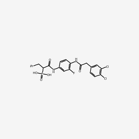 CC(C)CC(C(=O)Nc1ccc(NC(=O)Cc2ccc(Cl)c(Cl)c2)c(F)c1)P(=O)(O)O